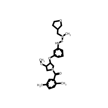 COC1CN(C(=O)c2cc(C)ccc2C)CC1Oc1cccc(NSN(C)CC2CCOC2)c1